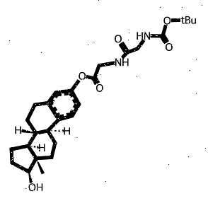 CC(C)(C)OC(=O)NCC(=O)NCC(=O)Oc1ccc2c(c1)CC[C@@H]1[C@@H]2CC[C@]2(C)[C@@H](O)CC[C@@H]12